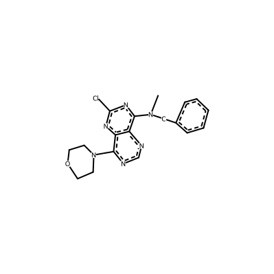 CN(Cc1ccccc1)c1nc(Cl)nc2c(N3CCOCC3)ncnc12